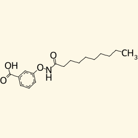 CCCCCCCCCC(=O)NOc1cccc(C(=O)O)c1